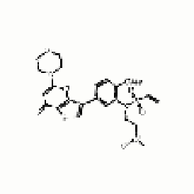 C=CS(=O)(=O)N(CC[S+](C)[O-])c1cc(-c2csc3c(=S)cc(N4CCOCC4)oc23)ccc1OC